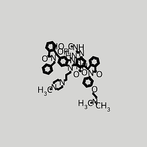 CN(C)CCOc1cccc(N2C(=O)c3ccccc3C2(OC(=O)NC2Nc3cc(C4(O)c5ccccc5C(=O)N4Cc4ccccc4)ccc3N2CCCN2CCN(C)CC2)c2ccc3[nH]c(NC(=O)O)nc3c2)c1